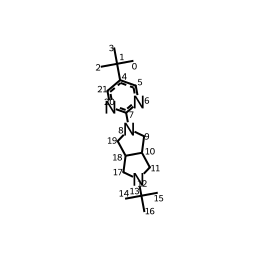 CC(C)(C)c1cnc(N2CC3CN(C(C)(C)C)CC3C2)nc1